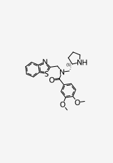 COc1ccc(C(=O)N(Cc2nc3ccccc3s2)C[C@@H]2CCCN2)cc1OC